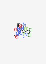 C=CC(=O)N1CC2C(=O)N(C)c3c(c4cc(F)c(-c5c(N)c(Cl)cc(Cl)c5F)c(F)c4n(-c4c(C)ccnc4C(C)C)c3=O)N2CC1C